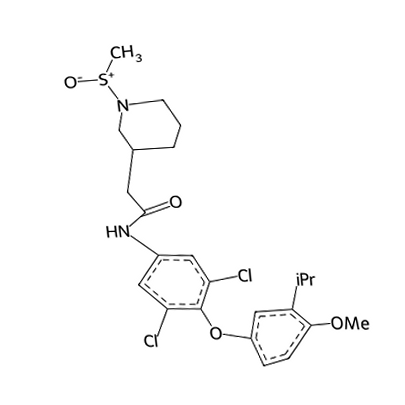 COc1ccc(Oc2c(Cl)cc(NC(=O)CC3CCCN([S+](C)[O-])C3)cc2Cl)cc1C(C)C